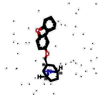 c1ccc2c(c1)oc1ccc(OC[C@@H]3C[C@H]4CC[C@@H](C3)N4)cc12